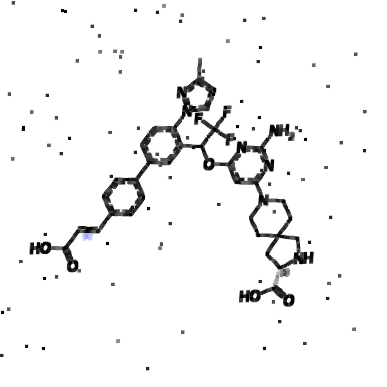 Cc1ccn(-c2ccc(-c3ccc(/C=C/C(=O)O)cc3)cc2C(Oc2cc(N3CCC4(CC3)CN[C@H](C(=O)O)C4)nc(N)n2)C(F)(F)F)n1